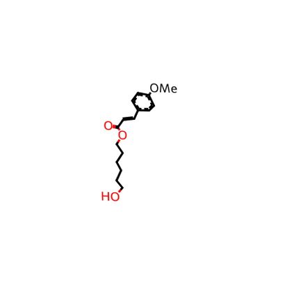 COc1ccc(C=CC(=O)OCCCCCCO)cc1